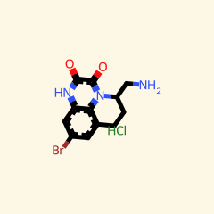 Cl.NCC1CCc2cc(Br)cc3[nH]c(=O)c(=O)n1c23